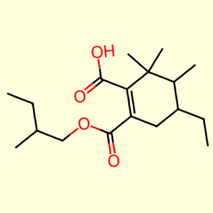 CCC(C)COC(=O)C1=C(C(=O)O)C(C)(C)C(C)C(CC)C1